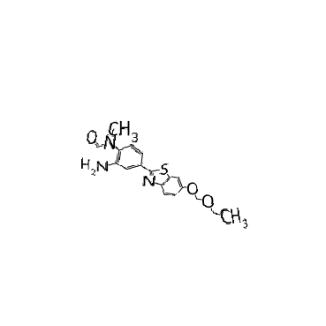 CCOCOc1ccc2nc(-c3ccc(N(C)C=O)c(N)c3)sc2c1